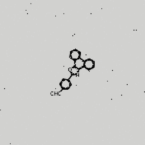 O=Cc1ccc(-c2nc3c4ccccc4c4ccccc4c3o2)cc1